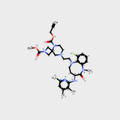 C#CCOC(=O)N1CCN(CCN2CC[C@H](Nc3nc(C)cc(C(F)(F)F)c3C#N)C(=O)N(C)c3cccc(F)c32)CC12CN(C(=O)OC(C)(C)C)C2